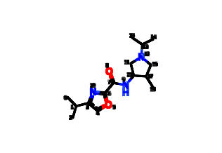 CC(C)c1coc(C(=O)NC2CN(C(C)C)CC2C)n1